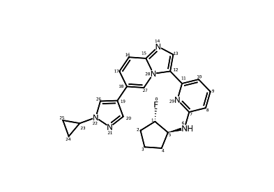 F[C@H]1CCC[C@@H]1Nc1cccc(-c2cnc3ccc(-c4cnn(C5CC5)c4)cn23)n1